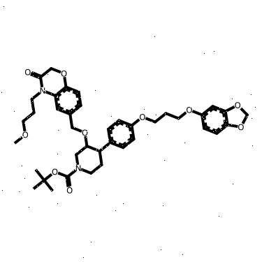 COCCCN1C(=O)COc2ccc(COC3CN(C(=O)OC(C)(C)C)CCC3c3ccc(OCCCOc4ccc5c(c4)OCO5)cc3)cc21